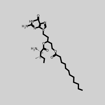 CCCCCCCCCCCC(=O)OCCC(CCn1cnc2c(=O)[nH]c(N)nc21)OC(=O)[C@@H](N)[C@@H](C)CC